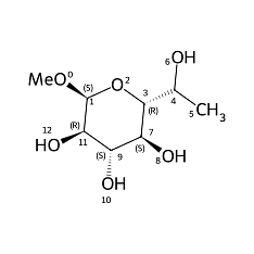 CO[C@H]1O[C@H](C(C)O)[C@@H](O)[C@H](O)[C@H]1O